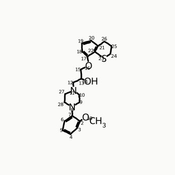 COc1ccccc1N1CCN(CC(O)COc2cccc3c2SCCC3)CC1